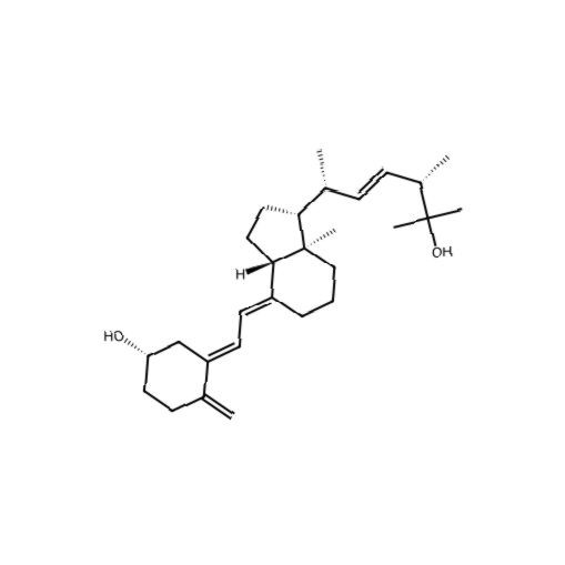 C=C1CC[C@H](O)CC1=CC=C1CCC[C@]2(C)[C@@H]([C@H](C)/C=C/[C@H](C)C(C)(C)O)CC[C@@H]12